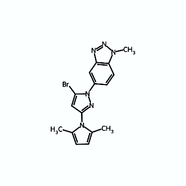 Cc1ccc(C)n1-c1cc(Br)n(-c2ccc3c(c2)nnn3C)n1